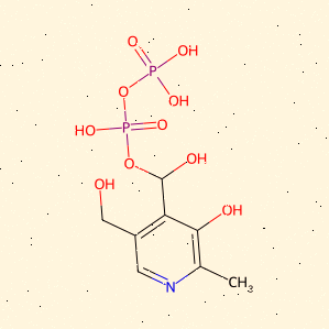 Cc1ncc(CO)c(C(O)OP(=O)(O)OP(=O)(O)O)c1O